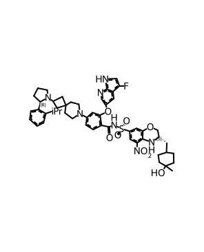 CC(C)c1ccccc1[C@H]1CCCN1C1CC2(CCN(c3ccc(C(=O)NS(=O)(=O)c4cc5c(c([N+](=O)[O-])c4)N[C@@H](CC4CCC(C)(O)CC4)CO5)c(Oc4cnc5[nH]cc(F)c5c4)c3)CC2)C1